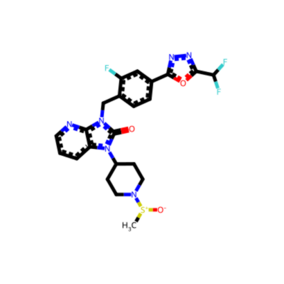 C[S+]([O-])N1CCC(n2c(=O)n(Cc3ccc(-c4nnc(C(F)F)o4)cc3F)c3ncccc32)CC1